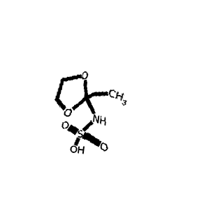 CC1(NS(=O)(=O)O)OCCO1